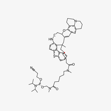 CC(C)N(C(C)C)P(OCCC#N)OCN(C)C(=O)CCCCCN(C)C(=O)CCCCCC1(C)CC2=Cc3cc4c5c(c3OC2CCNc2ccc3sc6ccccc6c3c21)CCCN5CCC4